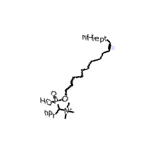 CCCCCCC/C=C\CCCCCCCCCOP(=O)(O)C(CCC)[N+](C)(C)C